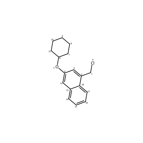 ClCc1cc(OC2CCCCC2)cc2ccccc12